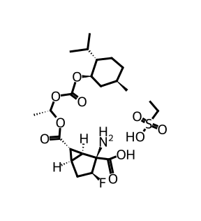 CC(C)[C@@H]1CC[C@@H](C)C[C@H]1OC(=O)O[C@@H](C)OC(=O)[C@H]1[C@@H]2C[C@H](F)[C@@](N)(C(=O)O)[C@@H]21.CCS(=O)(=O)O